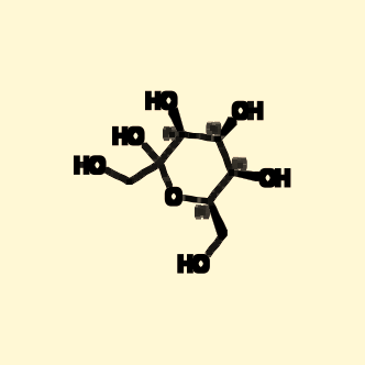 OC[C@H]1OC(O)(CO)[C@@H](O)[C@@H](O)[C@H]1O